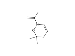 C=C(C)N1C=CCC(C)(C)O1